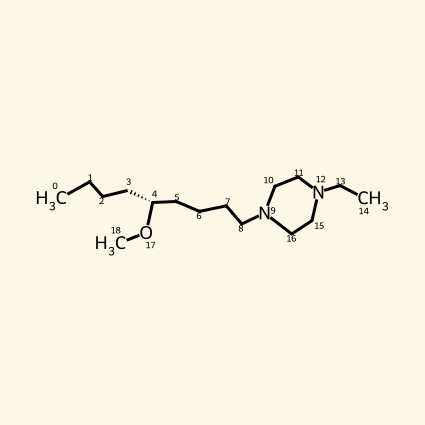 CCCC[C@H](CCCCN1CCN(CC)CC1)OC